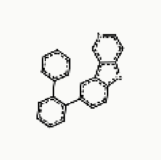 c1ccc(-c2ccccc2-c2ccc3sc4ccncc4c3c2)cc1